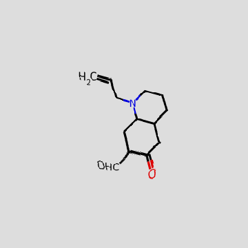 C=CCN1CCCC2CC(=O)C(C=O)CC21